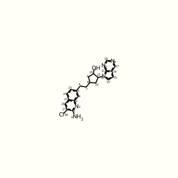 Nc1nc2cc(CCC3CC(O)C(n4ccc5cncnc54)C3)ccc2cc1Cl